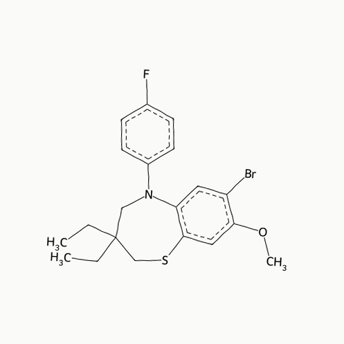 CCC1(CC)CSc2cc(OC)c(Br)cc2N(c2ccc(F)cc2)C1